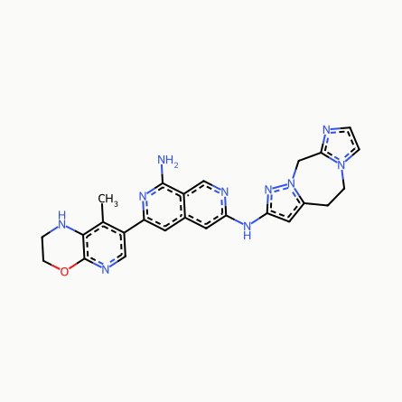 Cc1c(-c2cc3cc(Nc4cc5n(n4)Cc4nccn4CC5)ncc3c(N)n2)cnc2c1NCCO2